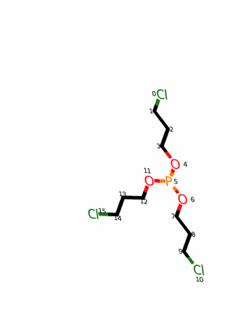 ClCCCOP(OCCCCl)OCCCCl